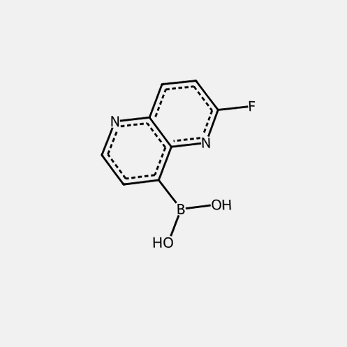 OB(O)c1ccnc2ccc(F)nc12